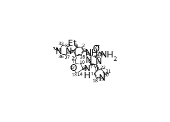 CCc1cc(Nc2nc(NC3CCOCC3)c(-c3ccnc(C)c3)nc2C(N)=O)ccc1N1CCN(C)CC1